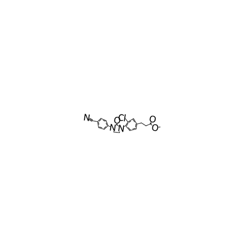 COC(=O)CCc1ccc(N2CCN(c3ccc(C#N)cc3)C2=O)c(Cl)c1